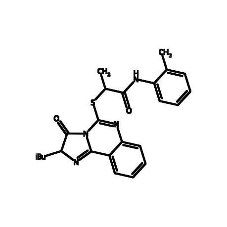 CCC(C)C1N=C2c3ccccc3N=C(SC(C)C(=O)Nc3ccccc3C)N2C1=O